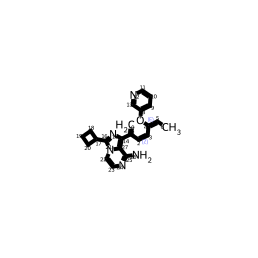 C=C(/C=C\C(=C/C)Oc1cccnc1)c1nc(C2CCC2)n2ccnc(N)c12